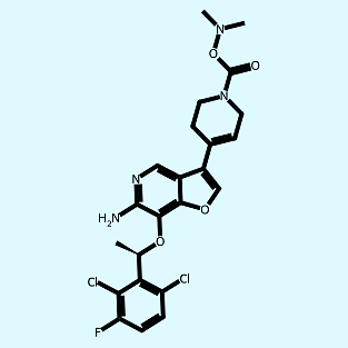 C[C@@H](Oc1c(N)ncc2c(C3=CCN(C(=O)ON(C)C)CC3)coc12)c1c(Cl)ccc(F)c1Cl